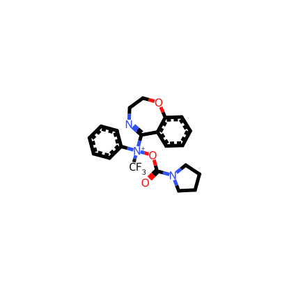 O=C(O[N+](C1=NCCOc2ccccc21)(c1ccccc1)C(F)(F)F)N1CCCC1